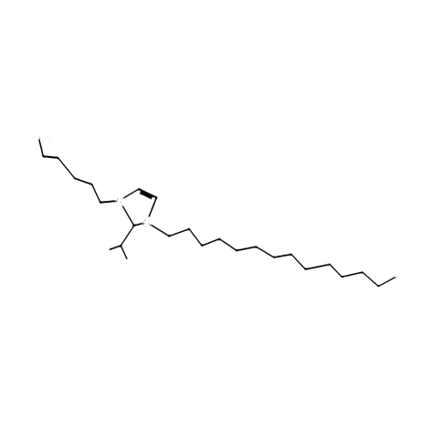 CCCCCCCCCCCCCCN1C=CN(CCCCCC)C1C(C)C